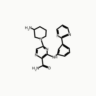 NC(=O)c1ncc(N2CCCC(N)C2)nc1Nc1cccc(-c2ncccn2)c1